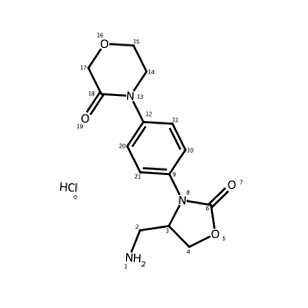 Cl.NCC1COC(=O)N1c1ccc(N2CCOCC2=O)cc1